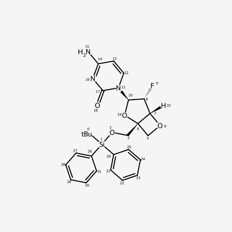 CC(C)(C)[Si](OC[C@]12CO[C@H]1[C@@H](F)[C@H](n1ccc(N)nc1=O)O2)(c1ccccc1)c1ccccc1